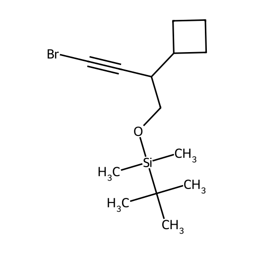 CC(C)(C)[Si](C)(C)OCC(C#CBr)C1CCC1